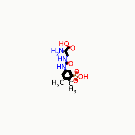 Cc1cc(NC(=O)NC[C@H](N)C(=O)O)cc(S(=O)(=O)O)c1C